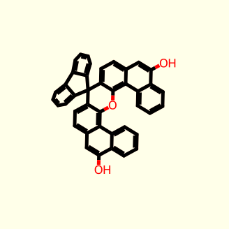 Oc1cc2ccc3c(c2c2ccccc12)Oc1c(ccc2cc(O)c4ccccc4c12)C31c2ccccc2-c2ccccc21